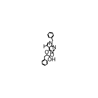 O=C(O)C(Cc1ccccc1)Oc1ncnc2c1c(I)cn2Cc1ccccc1